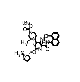 C[C@H]1CN(C(=O)OC(C)(C)C)CCN1c1nc(OC[C@@H]2CCCN2C)nc(C(=O)Nc2cccc3cccc(Cl)c23)c1N